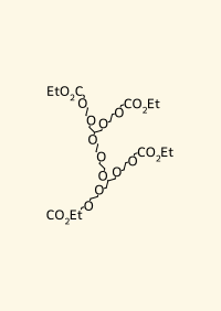 CCOC(=O)COCCOCC(COCCOCC(=O)OCC)OCCOCCOC(COCCOCC(=O)OCC)COCCOCC(=O)OCC